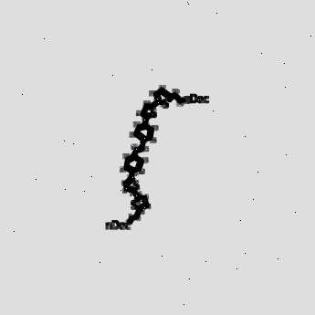 CCCCCCCCCCCCc1ccc(-c2ccc(-c3ccc(/C=C/c4ccc(-c5ccc(-c6ccc(CCCCCCCCCCCC)s6)s5)cc4)cc3)s2)s1